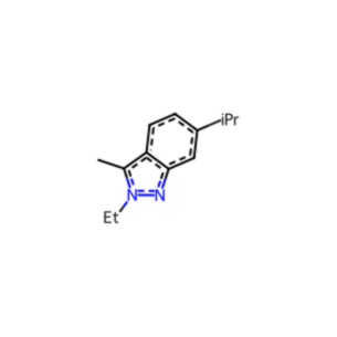 CCn1nc2cc(C(C)C)ccc2c1C